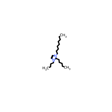 CCCCCCCCCN1C=CN(CCCC)C1CCCCC